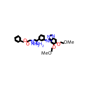 COCCOc1cc2ncnc(Nc3cccc(/C(N)=C/N(N)CC(=O)OCc4ccccc4)c3)c2cc1OCCOC